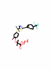 Cc1cc(SC(C)(C)c2cnc(-c3ccc(C(F)(F)F)cc3)s2)ccc1OC(C)(C)C(=O)O